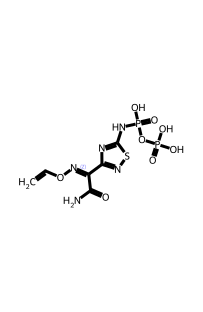 C=CO/N=C(\C(N)=O)c1nsc(NP(=O)(O)OP(=O)(O)O)n1